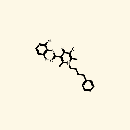 CCc1cccc(CC)c1NC(=O)c1c(C)n(CCCCc2ccccc2)c(C)c(Cl)c1=O